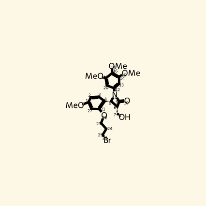 COc1ccc([C@H]2[C@@H](CO)C(=O)N2c2cc(OC)c(OC)c(OC)c2)c(OCCCBr)c1